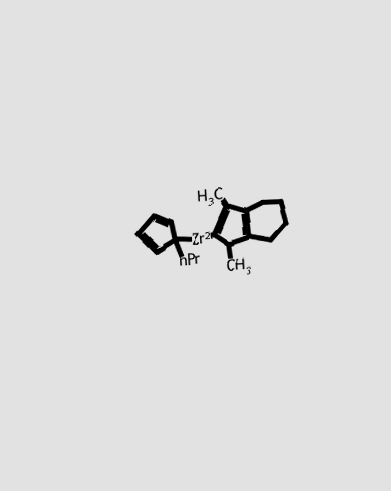 CCC[C]1([Zr+2][C]2=C(C)C3=C(CCCC3)C2C)C=CC=C1